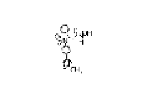 Cc1nc(-c2ccc(N3C(CC(=O)NO)c4ccccc4S3(=O)=O)cc2)cs1